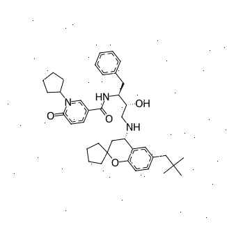 CC(C)(C)Cc1ccc2c(c1)[C@@H](NC[C@@H](O)[C@H](Cc1ccccc1)NC(=O)c1ccc(=O)n(C3CCCC3)c1)CC1(CCCC1)O2